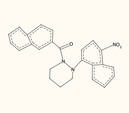 O=C(c1ccc2ccccc2c1)N1CCCCN1c1ccc([N+](=O)[O-])c2ccccc12